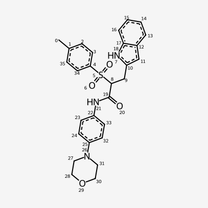 Cc1ccc(S(=O)(=O)C(Cc2cc3ccccc3[nH]2)C(=O)Nc2ccc(N3CCOCC3)cc2)cc1